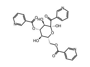 O=C(OC[C@H]1O[C@](O)(C(=O)c2cccnc2)[C@H](O)[C@@H](OC(=O)c2cccnc2)[C@@H]1O)c1cccnc1